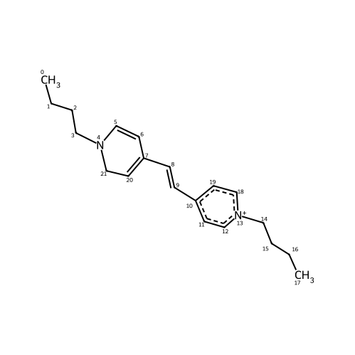 CCCCN1C=CC(/C=C/c2cc[n+](CCCC)cc2)=CC1